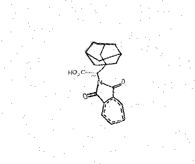 O=C(O)[C@@H](N1C(=O)c2ccccc2C1=O)C12CC3CC(CC(C3)C1)C2